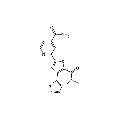 CN(C)C(=O)c1sc(-c2cc(C(N)=O)ccn2)nc1-c1ccco1